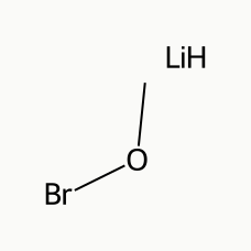 COBr.[LiH]